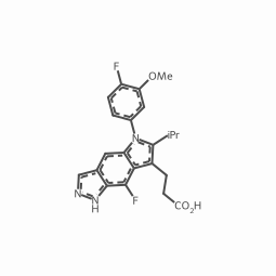 COc1cc(-n2c(C(C)C)c(CCC(=O)O)c3c(F)c4[nH]ncc4cc32)ccc1F